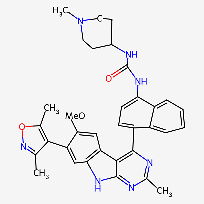 COc1cc2c(cc1-c1c(C)noc1C)[nH]c1nc(C)nc(-c3ccc(NC(=O)NC4CCN(C)CC4)c4ccccc34)c12